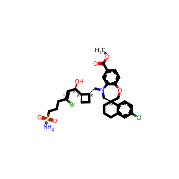 COC(=O)c1ccc2c(c1)N(C[C@@H]1CC[C@H]1[C@H](O)/C=C(\Br)CCCS(N)(=O)=O)C[C@@]1(CCCc3cc(Cl)ccc31)CO2